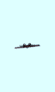 CCCCCCCCCCCCCCCCCCOCCCCCCCCCCCCCCCCCC.O=C(O)CCCCCCCC(=O)O